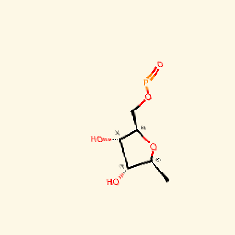 C[C@@H]1O[C@H](COP=O)[C@@H](O)[C@H]1O